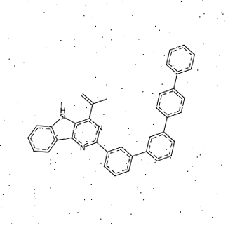 C=C(C)c1nc(-c2cccc(-c3cccc(-c4ccc(-c5ccccc5)cc4)c3)c2)nc2c1[SiH](C)c1ccccc1-2